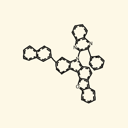 c1ccc(-c2nc3ccccc3nc2-n2c3cc(-c4ccc5ccccc5c4)ccc3c3c4oc5ccccc5c4ccc32)cc1